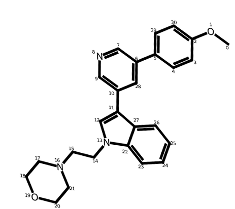 COc1ccc(-c2cncc(-c3cn(CCN4CCOCC4)c4ccccc34)c2)cc1